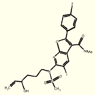 C=CC(O)CCCN(c1nc2oc(-c3ccc(F)cc3)c(C(=O)NC)c2cc1I)S(C)(=O)=O